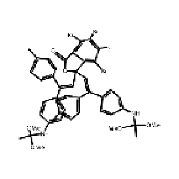 COC(C)(Nc1ccc(/C(=C/C2(/C=C(\c3ccc(C)cc3)c3ccc(NC(C)(OC)OC)cc3)OC(=O)c3c(Br)c(Br)c(Cl)c(Br)c32)c2ccc(C)cc2)cc1)OC